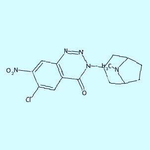 CN1C2CCC1CC(n1nnc3cc([N+](=O)[O-])c(Cl)cc3c1=O)C2